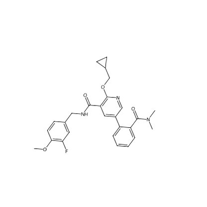 COc1ccc(CNC(=O)c2cc(-c3ccccc3C(=O)N(C)C)cnc2OCC2CC2)cc1F